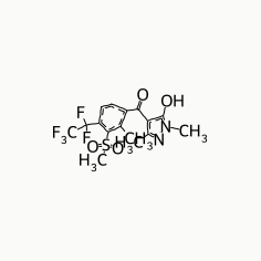 Cc1nn(C)c(O)c1C(=O)c1ccc(C(F)(F)C(F)(F)F)c(S(C)(=O)=O)c1C